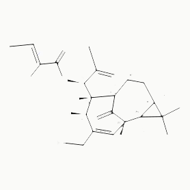 C/C=C(\C)C(=O)O[C@H]1C(C)=C[C@]23C(=O)[C@@H](C=C(CO)[C@@H](O)[C@]12O)[C@H]1[C@@H](C[C@H]3C)C1(C)C